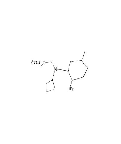 CC1CCC(C(C)C)C(N(CC(=O)O)C2CCC2)C1